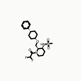 CS(=O)(=O)N[C@H]1CCCN(C(=O)C(F)F)[C@H]1CO[C@H]1CC[C@@H](c2ccccc2)CC1